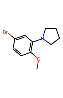 COc1ccc(Br)cc1N1CCCC1